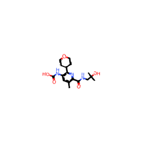 Cc1cc(NC(=O)O)c(C2CCOCC2)nc1C(=O)NCC(C)(C)O